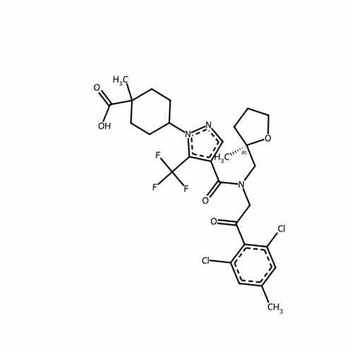 Cc1cc(Cl)c(C(=O)CN(C[C@@]2(C)CCCO2)C(=O)c2cnn(C3CCC(C)(C(=O)O)CC3)c2C(F)(F)F)c(Cl)c1